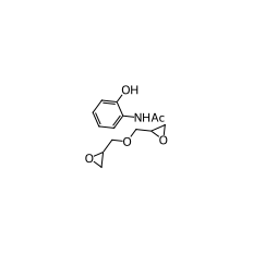 C(OCC1CO1)C1CO1.CC(=O)Nc1ccccc1O